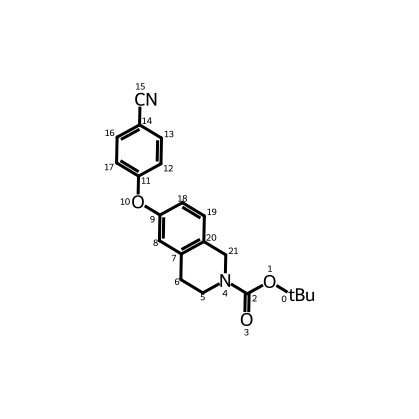 CC(C)(C)OC(=O)N1CCc2cc(Oc3ccc(C#N)cc3)ccc2C1